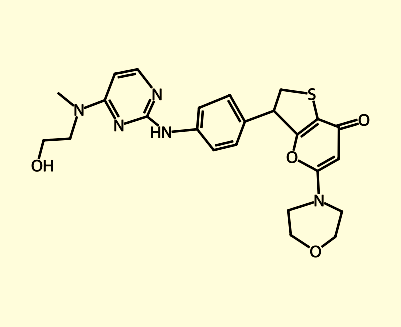 CN(CCO)c1ccnc(Nc2ccc(C3CSc4c3oc(N3CCOCC3)cc4=O)cc2)n1